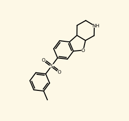 Cc1cccc(S(=O)(=O)c2ccc3c(c2)OC2CNCCC32)c1